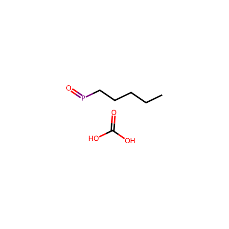 CCCCCP=O.O=C(O)O